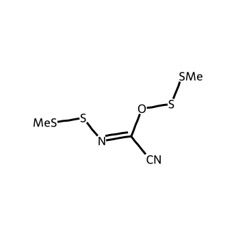 CSSN=C(C#N)OSSC